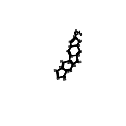 Cc1cc2cc3c(cc2s1)sc1cc2sccc2cc13